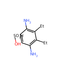 CCc1c(N)ccc(N)c1CC.O=S(=O)(O)O